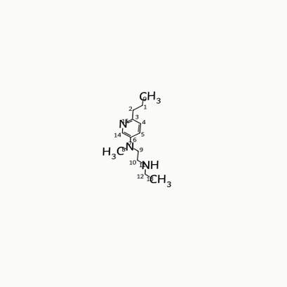 CCCc1ccc(N(C)CCNCC)cn1